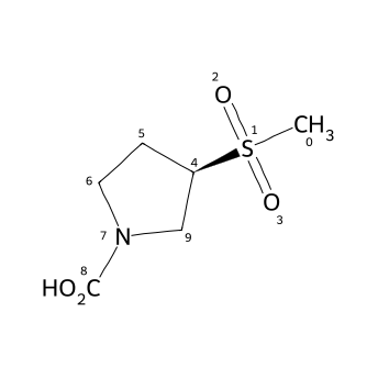 CS(=O)(=O)[C@@H]1CCN(C(=O)O)C1